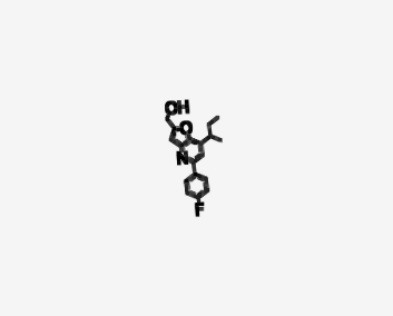 CCC(C)c1cc(-c2ccc(F)cc2)nc2cc(CO)oc12